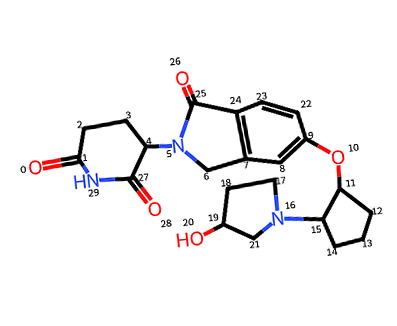 O=C1CCC(N2Cc3cc(OC4CCCC4N4CCC(O)C4)ccc3C2=O)C(=O)N1